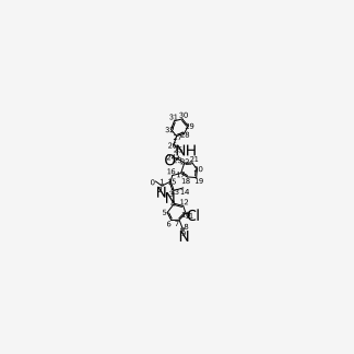 Cc1nn(-c2ccc(C#N)c(Cl)c2)c(C)c1Cc1ccccc1C(=O)NCc1ccccc1